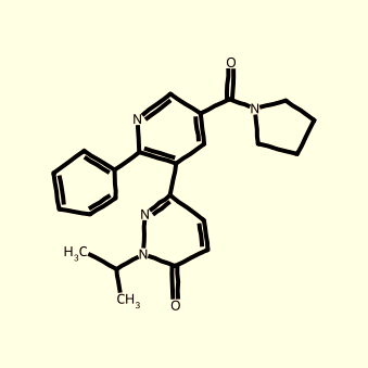 CC(C)n1nc(-c2cc(C(=O)N3CCCC3)cnc2-c2ccccc2)ccc1=O